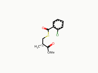 COC(=O)[C@H](C)CSC(=O)c1ccccc1Cl